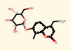 Cc1c(O[C@@H]2OC(CO)[C@@H](O)C(O)[C@@H]2O)ccc2c(CS(=O)(=O)O)cc(=O)oc12